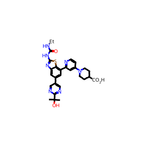 CCNC(=O)Nc1nc2cc(-c3cnc(C(C)(C)O)nc3)cc(-c3cc(N4CCC(C(=O)O)CC4)ccn3)c2s1